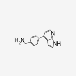 NCc1ccc(-c2ccnc3[nH]ccc23)cc1